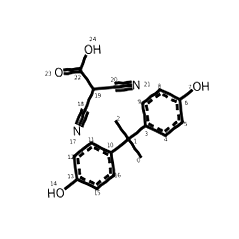 CC(C)(c1ccc(O)cc1)c1ccc(O)cc1.N#CC(C#N)C(=O)O